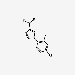 Cc1cc(Cl)ccc1-n1cnc(C(F)F)c1